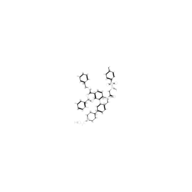 Cc1ccc(S(=O)(=O)N(C)CC(=O)N(Cc2ccc(C3CCN(C(=O)O)CC3)cc2)c2ccc(C(=O)OCc3ccccc3)c(OCc3ccccc3)c2)cc1